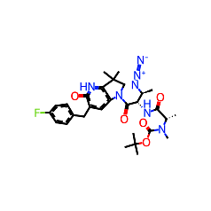 C[C@H](N=[N+]=[N-])[C@H](NC(=O)[C@H](C)N(C)C(=O)OC(C)(C)C)C(=O)N1CC(C)(C)c2[nH]c(=O)c(Cc3ccc(F)cc3)cc21